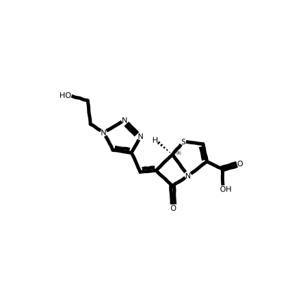 O=C(O)C1=CS[C@@H]2C(=Cc3cn(CCO)nn3)C(=O)N12